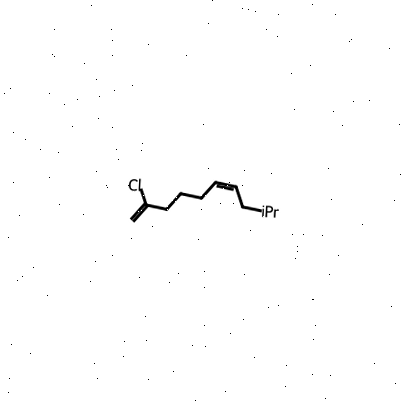 C=C(Cl)CCC/C=C\CC(C)C